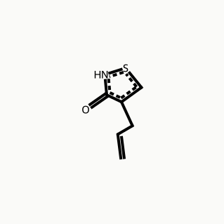 C=CCc1cs[nH]c1=O